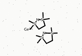 C[Si]1(C)CC[Si](C)(C)[N-]1.C[Si]1(C)CC[Si](C)(C)[N-]1.[Ge+2]